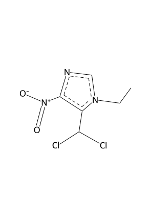 CCn1cnc([N+](=O)[O-])c1C(Cl)Cl